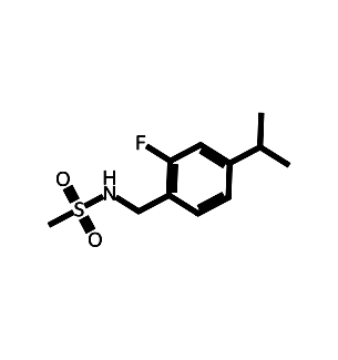 CC(C)c1ccc(CNS(C)(=O)=O)c(F)c1